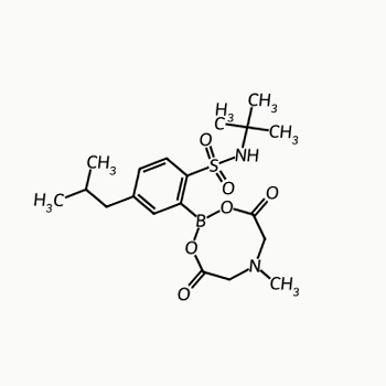 CC(C)Cc1ccc(S(=O)(=O)NC(C)(C)C)c(B2OC(=O)CN(C)CC(=O)O2)c1